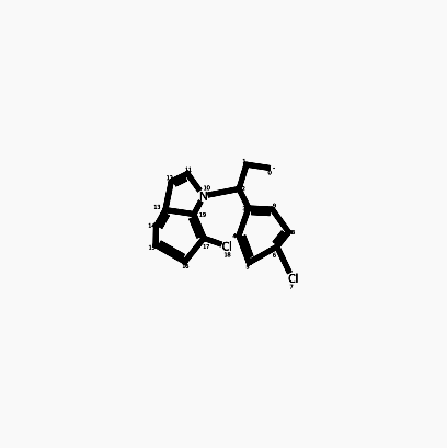 [CH2]CC(c1ccc(Cl)cc1)n1ccc2cccc(Cl)c21